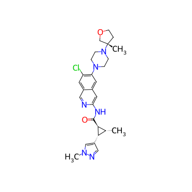 C[C@H]1[C@H](C(=O)Nc2cc3cc(N4CCN([C@@]5(C)CCOC5)CC4)c(Cl)cc3cn2)[C@H]1c1cnn(C)c1